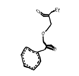 CCC(=O)COC(=O)c1ccccc1